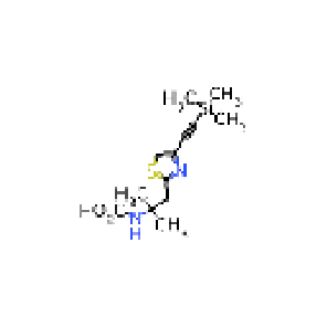 CC(C)(Cc1nc(C#C[Si](C)(C)C)cs1)NC(=O)O